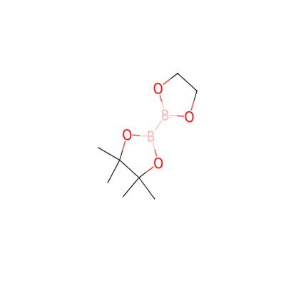 CC1(C)OB(B2OCCO2)OC1(C)C